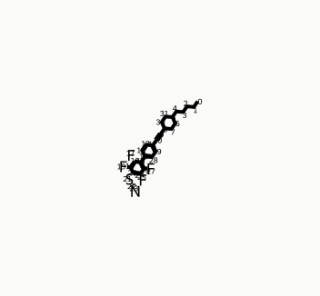 CCCCCC1CCC(C#Cc2ccc(-c3c(F)c(F)c(SC#N)c(F)c3F)cc2)CC1